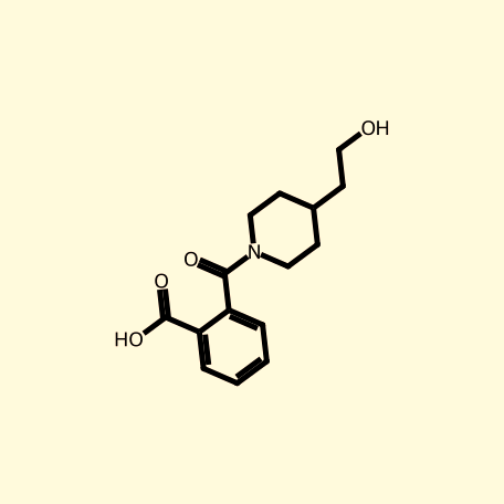 O=C(O)c1ccccc1C(=O)N1CCC(CCO)CC1